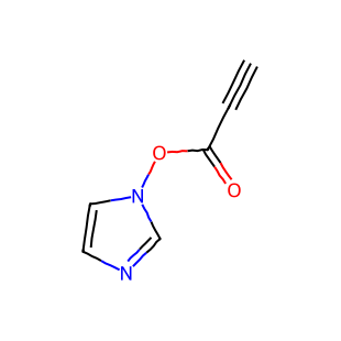 C#CC(=O)On1ccnc1